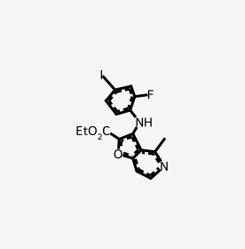 CCOC(=O)c1oc2ccnc(C)c2c1Nc1ccc(I)cc1F